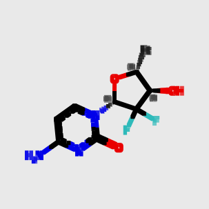 CC[C@H]1O[C@@H](n2ccc(N)nc2=O)C(F)(F)[C@@H]1O